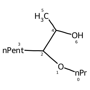 [CH2]CCOC(CCCCC)C(C)O